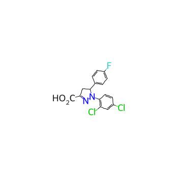 O=C(O)C1=NN(c2ccc(Cl)cc2Cl)C(c2ccc(F)cc2)C1